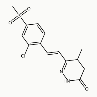 CC1CC(=O)NN=C1C=Cc1ccc(S(C)(=O)=O)cc1Cl